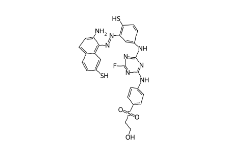 Nc1ccc2ccc(S)cc2c1/N=N/c1cc(Nc2nc(F)nc(Nc3ccc(S(=O)(=O)CCO)cc3)n2)ccc1S